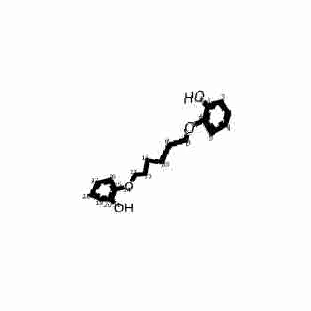 Oc1ccccc1OCCCCCCOc1ccccc1O